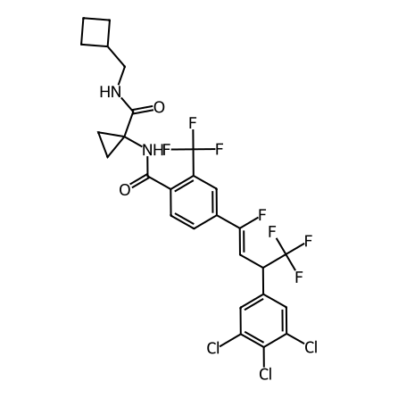 O=C(NC1(C(=O)NCC2CCC2)CC1)c1ccc(C(F)=CC(c2cc(Cl)c(Cl)c(Cl)c2)C(F)(F)F)cc1C(F)(F)F